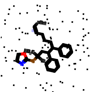 CCCCCCCC/C=C\CCCC(c1ccccc1)C(CC(CC)(Sc1ncco1)C(=O)O)c1ccccc1